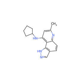 Cc1cc(NC2CCCC2)c2c(ccc3cn[nH]c32)n1